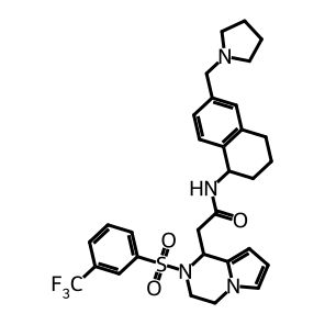 O=C(CC1c2cccn2CCN1S(=O)(=O)c1cccc(C(F)(F)F)c1)NC1CCCc2cc(CN3CCCC3)ccc21